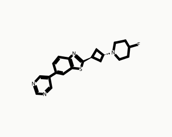 FC1CCN([C@H]2C[C@H](c3nc4ccc(-c5cncnc5)cc4s3)C2)CC1